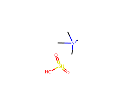 C[N+](C)(C)C.O=[SH](=O)O